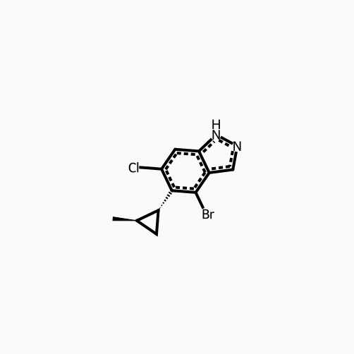 C[C@@H]1C[C@H]1c1c(Cl)cc2[nH]ncc2c1Br